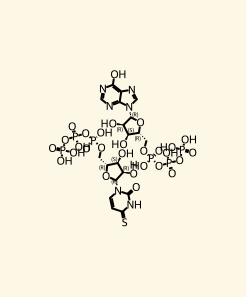 O=P(O)(O)OP(=O)(O)OP(=O)(O)OC[C@H]1O[C@@H](n2cnc3c(O)ncnc32)[C@H](O)[C@@H]1O.O=c1[nH]c(=S)ccn1[C@@H]1O[C@H](COP(=O)(O)OP(=O)(O)OP(=O)(O)O)[C@@H](O)[C@H]1O